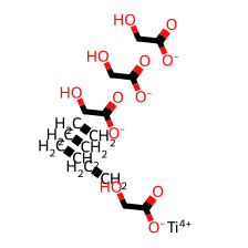 C=C.C=C.C=C.C=C.O=C([O-])CO.O=C([O-])CO.O=C([O-])CO.O=C([O-])CO.[Ti+4]